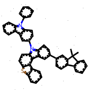 CC1(C)c2ccccc2-c2ccc(-c3ccc4c(c3)c3c5c(ccc3n4-c3ccc4c(c3)c3ccccc3n4-c3ccccc3)sc3ccccc35)cc21